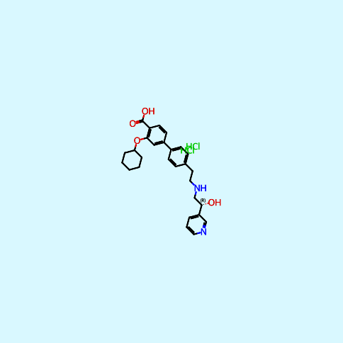 Cl.Cl.O=C(O)c1ccc(-c2ccc(CCNC[C@H](O)c3cccnc3)cc2)cc1OC1CCCCC1